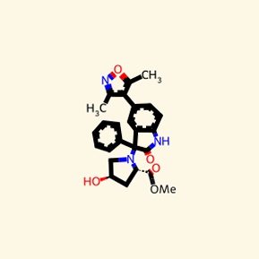 COC(=O)[C@@H]1C[C@@H](O)CN1C1(c2ccccc2)C(=O)Nc2ccc(-c3c(C)noc3C)cc21